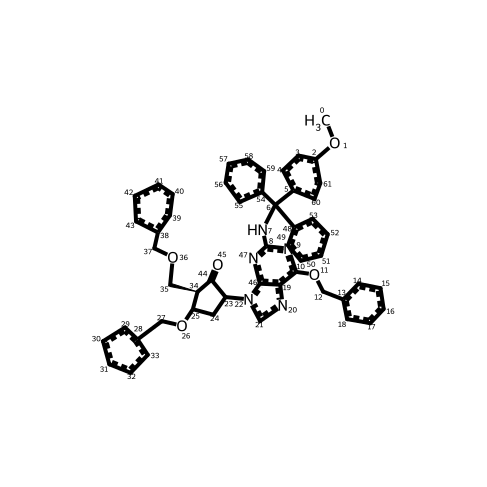 COc1ccc(C(Nc2nc(OCc3ccccc3)c3ncn(C4CC(OCc5ccccc5)[C@@H](COCc5ccccc5)C4=O)c3n2)(c2ccccc2)c2ccccc2)cc1